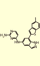 Cc1ccc2sc(-c3cc(Nc4ccnc(N)n4)cc4cn[nH]c34)cc2c1